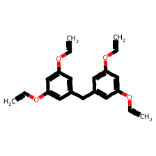 C=COc1cc(Cc2cc(OC=C)cc(OC=C)c2)cc(OC=C)c1